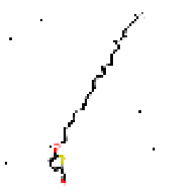 CCCCCCCCC=CCCCCCCCCOc1ccc(C=O)s1